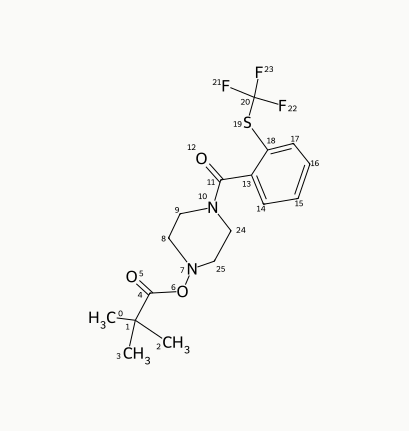 CC(C)(C)C(=O)ON1CCN(C(=O)c2ccccc2SC(F)(F)F)CC1